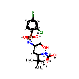 CC(C)(C)C(C[C@H](CO)NS(=O)(=O)c1ccc(F)cc1Cl)NC(=O)O